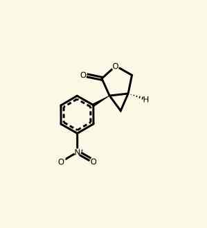 O=C1OC[C@H]2C[C@]12c1cccc([N+](=O)[O-])c1